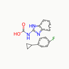 Fc1ccc(C2CC2)cc1.O=C(O)Nc1nc2ccccc2[nH]1